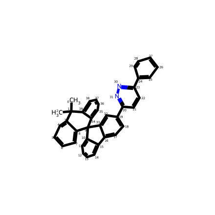 CC1(C)c2ccccc2C2(c3ccccc3-c3ccc(-c4ccc(-c5ccccc5)nn4)cc32)c2ccccc21